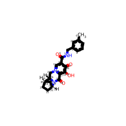 Cc1cccc(CNC(=O)c2cn3c(c(O)c2=O)C(=O)N2[C@H]4CC[C@H](C4)[C@@H]2C3)c1